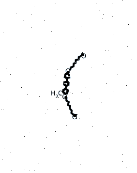 Cc1cc(-c2ccc(-c3ccc(OCCCCCCCCC4CO4)cc3)cc2)ccc1OCCCCCCCCC1CO1